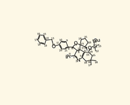 CC(C)c1nc2c(c3c1[C@@H](c1ccc(OCc4ccccc4)cc1)OC31CCCC1I)[C@@H](O[Si](C)(C)C(C)(C)C)CC(C)(C)C2